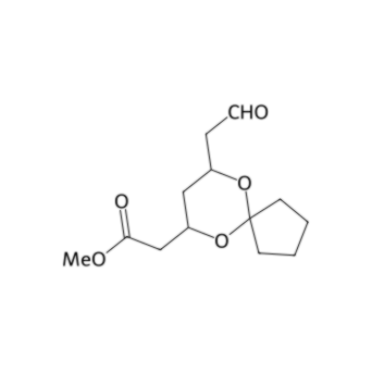 COC(=O)CC1CC(CC=O)OC2(CCCC2)O1